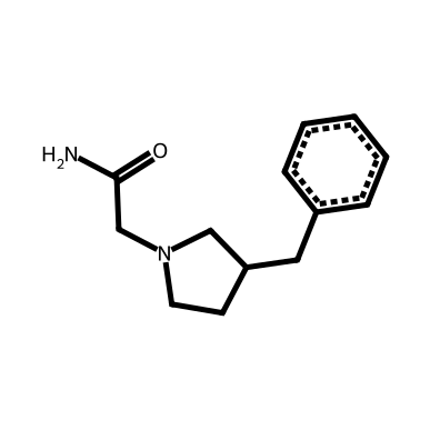 NC(=O)CN1CCC(Cc2ccccc2)C1